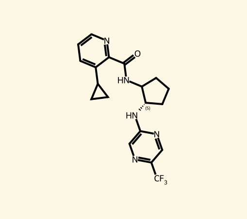 O=C(NC1CCC[C@@H]1Nc1cnc(C(F)(F)F)cn1)c1ncccc1C1CC1